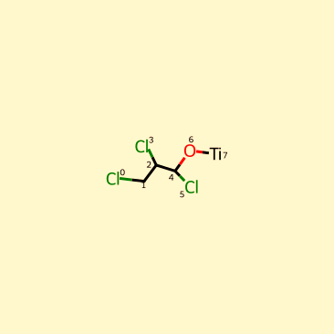 ClCC(Cl)C(Cl)[O][Ti]